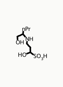 CCCC(CO)NCCC(O)S(=O)(=O)O